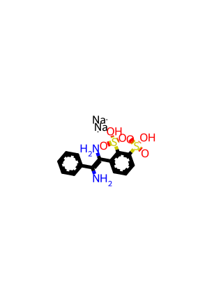 NC(=C(N)c1cccc(S(=O)(=O)O)c1S(=O)(=O)O)c1ccccc1.[Na].[Na]